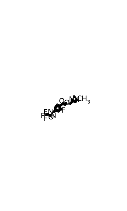 Cn1cnc(COCC(=O)c2ccc(-c3noc(C(F)(F)F)n3)cc2F)c1